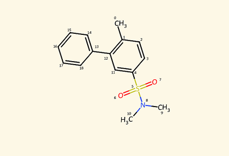 Cc1ccc(S(=O)(=O)N(C)C)cc1-c1ccccc1